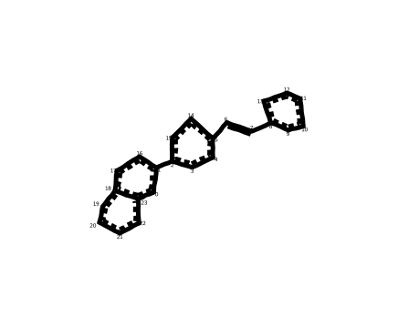 [c]1c(-c2ccc(C=Cc3ccccc3)cc2)ccc2ccccc12